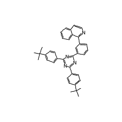 CC(C)(C)c1ccc(-c2nc(-c3ccc(C(C)(C)C)cc3)nc(-c3cccc(-c4nccc5ccccc45)c3)n2)cc1